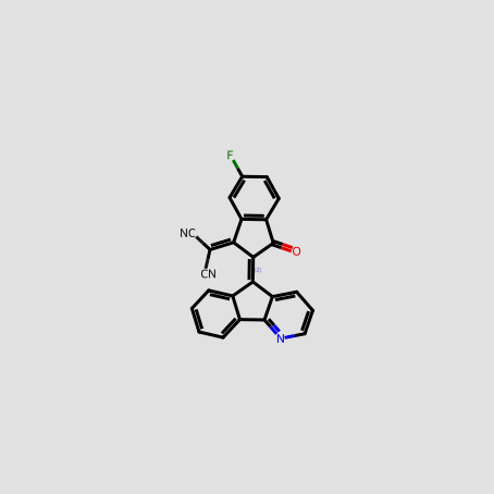 N#CC(C#N)=C1/C(=C2\c3ccccc3-c3ncccc32)C(=O)c2ccc(F)cc21